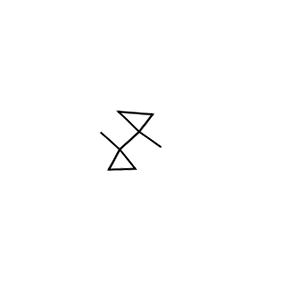 CC1(C2(C)CC2)CC1